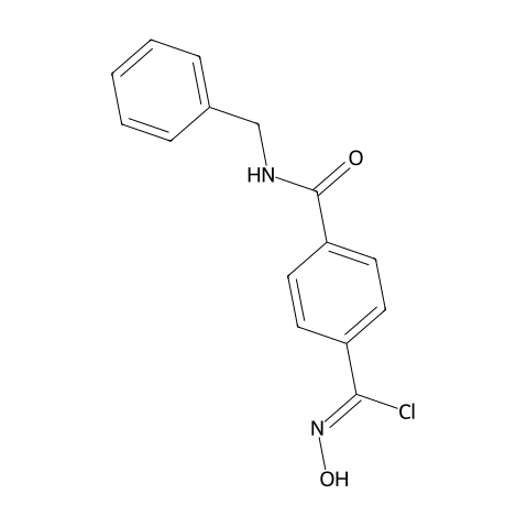 O=C(NCc1ccccc1)c1ccc(C(Cl)=NO)cc1